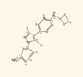 CCCc1cc(-n2nc(C)c(-c3ccc(NC4CCC4)nc3)c2C)ccn1